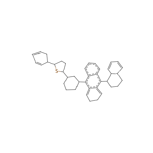 C1=CCC(C2CCC(C3CCCC(c4c5c(c(C6CCCC7C=CC=CC76)c6ccccc46)=CCCC=5)C3)S2)C=C1